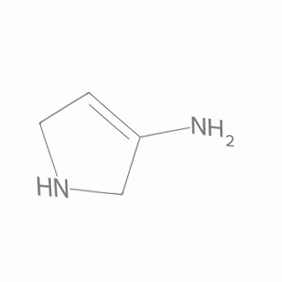 NC1=CCNC1